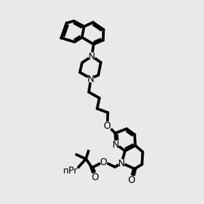 CCCC(C)(C)C(=O)OCN1C(=O)CCc2ccc(OCCCCN3CCN(c4cccc5ccccc45)CC3)nc21